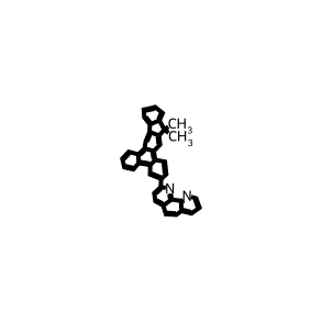 CC1(C)c2ccccc2-c2cc3c4ccccc4c4cc(-c5ccc6ccc7cccnc7c6n5)ccc4c3cc21